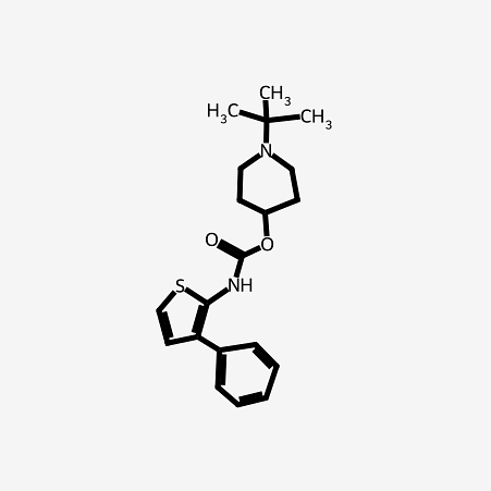 CC(C)(C)N1CCC(OC(=O)Nc2sccc2-c2ccccc2)CC1